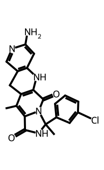 Cc1c2c(c(=O)n3c1C(=O)NC3(C)c1cccc(Cl)c1)Nc1cc(N)ncc1C2